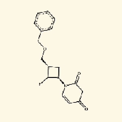 O=C1C=CN([C@@H]2C[C@H](COCc3ccccc3)C2F)C(=O)C1